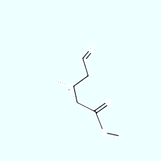 COC(=O)C[C@H](C)CC=O